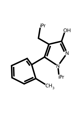 Cc1ccccc1-c1c(CC(C)C)c(O)nn1C(C)C